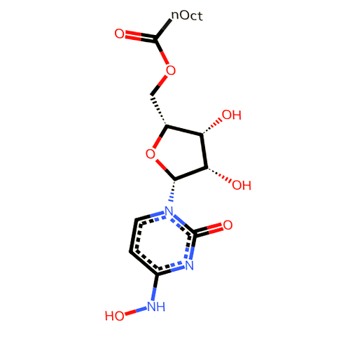 CCCCCCCCC(=O)OC[C@H]1O[C@@H](n2ccc(NO)nc2=O)[C@@H](O)[C@H]1O